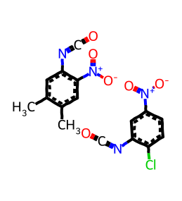 Cc1cc(N=C=O)c([N+](=O)[O-])cc1C.O=C=Nc1cc([N+](=O)[O-])ccc1Cl